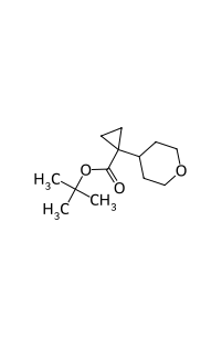 CC(C)(C)OC(=O)C1(C2CCOCC2)CC1